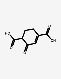 O=C(O)C1=CC(=O)C(C(=O)O)CC1